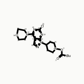 CC(C)(C)C(=O)ON1CCC(n2ncc3c(N4CCOCC4)nc(Cl)nc32)CC1